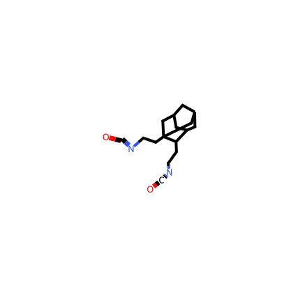 O=C=NCCC1C2CC3CC(C2)CC1(CCN=C=O)C3